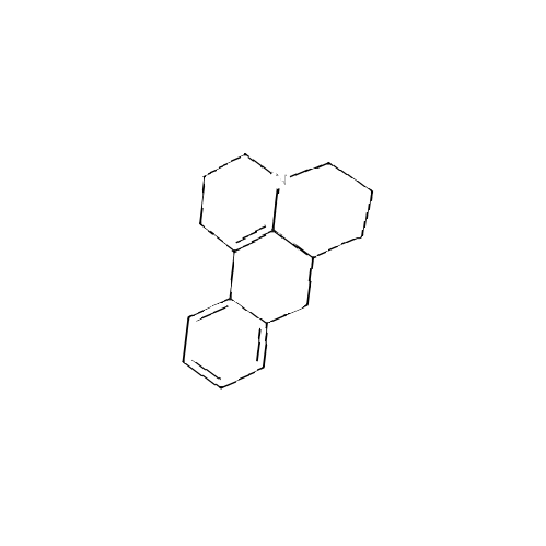 c1ccc2c(c1)CC1CCCN3CCCC2=C13